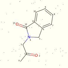 CC(=O)CN1Cc2ccccc2C1=O